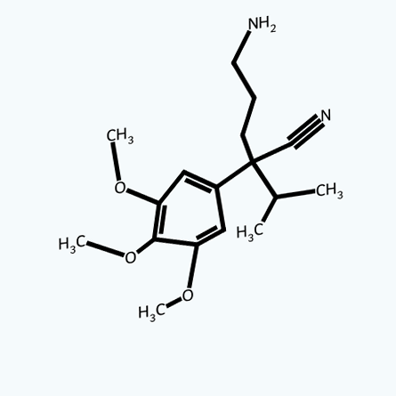 COc1cc(C(C#N)(CCCN)C(C)C)cc(OC)c1OC